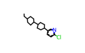 CCC1CCC(C2CCC(c3ccc(Cl)nc3)CC2)CC1